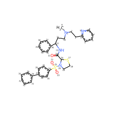 CN(CCc1ccccn1)CCC(NC(=O)C1SCCN1S(=O)(=O)c1ccc(-c2ccccc2)cc1)c1ccccc1